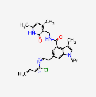 C=C/C=C(Cl)\N=C/Cc1cc(C(=O)NCc2c(C)cc(C)[nH]c2=O)c2c(C)cn(C(C)C)c2c1